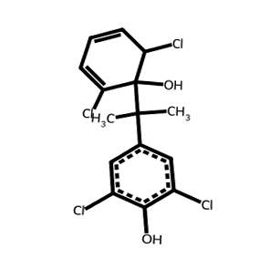 CC(C)(c1cc(Cl)c(O)c(Cl)c1)C1(O)C(Cl)=CC=CC1Cl